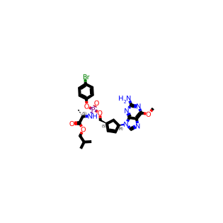 COc1nc(N)nc2c1ncn2[C@H]1C=C[C@@H](COP(=O)(N[C@@H](C)C(=O)OCC(C)C)Oc2ccc(Br)cc2)C1